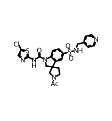 CC(=O)N1CCC2(C1)CN(C(=O)Nc1ncc(Cl)s1)c1ccc(S(=O)(=O)NCc3ccncc3)cc12